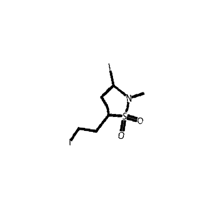 CN1C(I)CC(CCI)S1(=O)=O